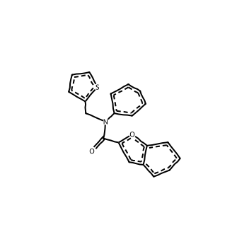 O=C(c1cc2ccccc2o1)N(Cc1cccs1)c1ccccc1